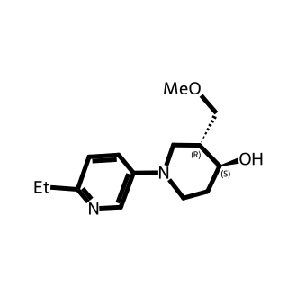 CCc1ccc(N2CC[C@H](O)[C@@H](COC)C2)cn1